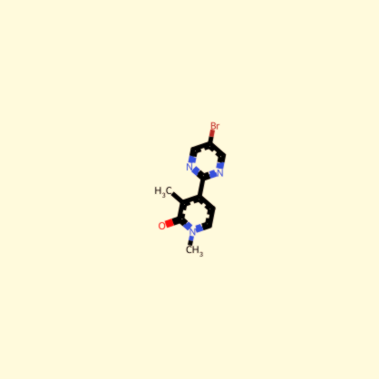 Cc1c(-c2ncc(Br)cn2)ccn(C)c1=O